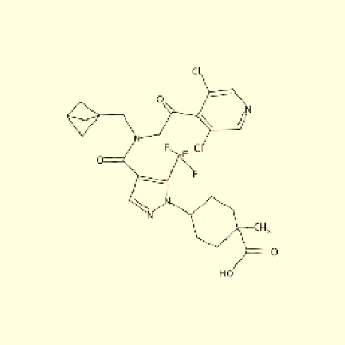 CC1(C(=O)O)CCC(n2ncc(C(=O)N(CC(=O)c3c(Cl)cncc3Cl)CC34CC(C3)C4)c2C(F)(F)F)CC1